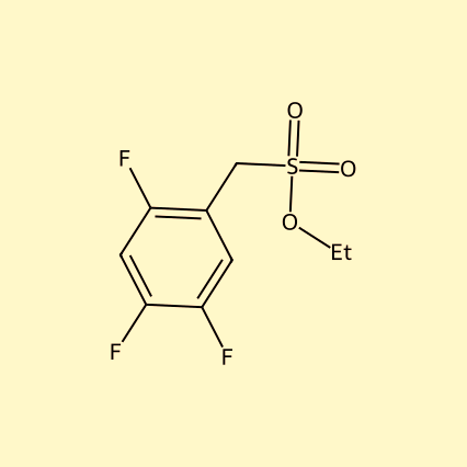 CCOS(=O)(=O)Cc1cc(F)c(F)cc1F